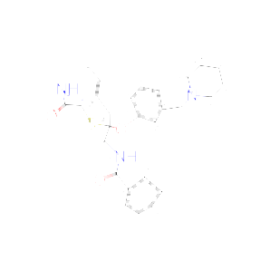 CC=CCC(CNC(=O)c1ccccc1)(Oc1cccc(CN2CCCCC2)c1)SCC(N)=O